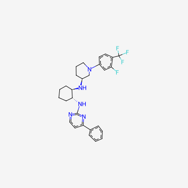 Fc1cc(N2CCC[C@H](N[C@@H]3CCCC[C@H]3Nc3nccc(-c4ccccc4)n3)C2)ccc1C(F)(F)F